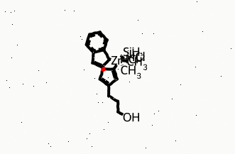 Cl.Cl.[CH3][Zr]([CH3])(=[SiH2])([C]1=CC(CCCO)=CC1)[CH]1C=Cc2ccccc21